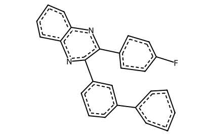 Fc1ccc(-c2nc3ccccc3nc2-c2cccc(-c3ccccc3)c2)cc1